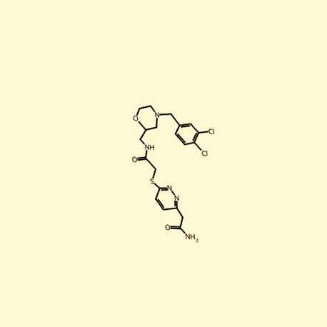 NC(=O)Cc1ccc(SCC(=O)NCC2CN(Cc3ccc(Cl)c(Cl)c3)CCO2)nn1